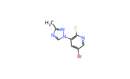 Cc1ncn(-c2cc(Br)cnc2F)n1